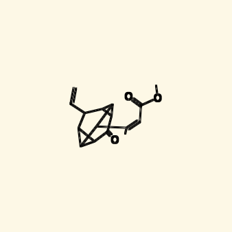 C=CC1C2C3C(=O)C4C1C4C(/C(C)=C\C(=O)OC)C32